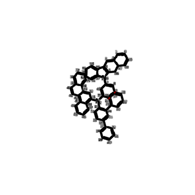 C1=CC2=Cc3c(n(-c4cccc(N(c5ccc(-c6ccccc6)cc5-c5ccccc5)c5cc6c7ccccc7ccc6c6ccccc56)c4)c4ccccc34)CC2C=C1